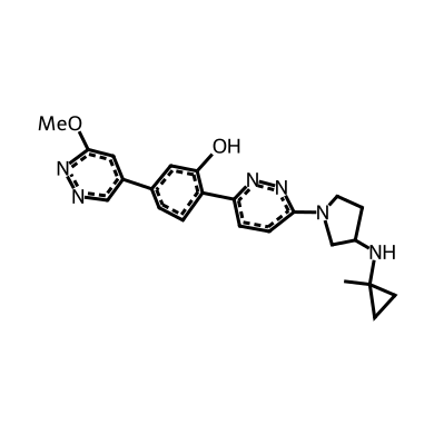 COc1cc(-c2ccc(-c3ccc(N4CCC(NC5(C)CC5)C4)nn3)c(O)c2)cnn1